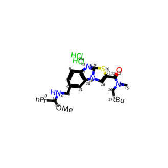 CCCC(NCc1ccc2nc3sc(C(=O)N(C)CC(C)(C)C)cn3c2c1)OC.Cl.Cl